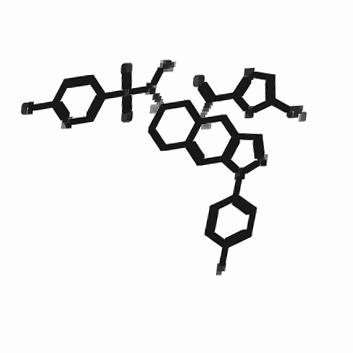 CC(C)N([C@H]1CCC2=Cc3c(cnn3-c3ccc(F)cc3)C[C@]2(C(=O)c2ncc(C(F)(F)F)s2)C1)S(=O)(=O)c1ccc(Cl)nc1